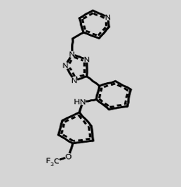 FC(F)(F)Oc1ccc(Nc2ccccc2-c2nnn(Cc3ccncc3)n2)cc1